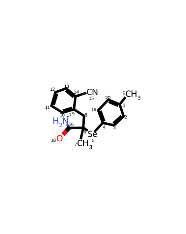 Cc1ccc([Se]C(C)(Cc2ccccc2C#N)C(N)=O)cc1